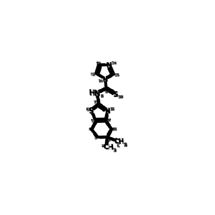 CC1(C)CCc2sc(NC(=S)n3ccnc3)nc2C1